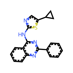 c1ccc(-c2nc(Nc3ncc(C4CC4)s3)c3ccccc3n2)cc1